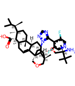 CC(C)[C@@H](C)[C@@]1(C)CC[C@]2(C)[C@H]3CC[C@@H]4[C@@]5(COC[C@@]4(C)[C@@H](OC[C@](C)(N)C(C)(C)C)[C@H](n4ncnc4-c4c(F)cncc4F)C5)C3=CC[C@@]2(C)[C@@H]1C(=O)O